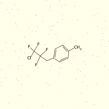 Cc1ccc(CC(F)(F)C(F)(F)Cl)cc1